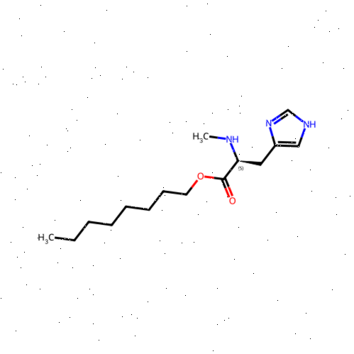 CCCCCCCCOC(=O)[C@H](Cc1c[nH]cn1)NC